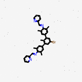 Cc1cc(-c2cc(Br)cc(-c3cc(C)c(N=Cc4ccccn4)c(C)c3)c2C)cc(C)c1N=Cc1ccccn1